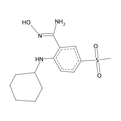 CS(=O)(=O)c1ccc(NC2CCCCC2)c(/C(N)=N/O)c1